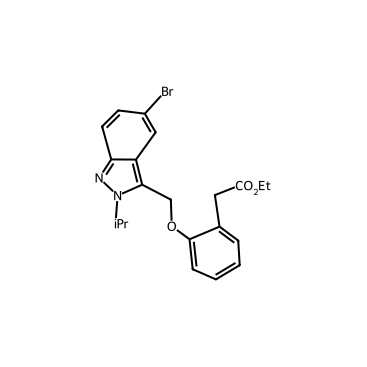 CCOC(=O)Cc1ccccc1OCc1c2cc(Br)ccc2nn1C(C)C